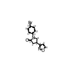 O=C1CC(c2ccon2)CN1c1ccc(Br)cc1